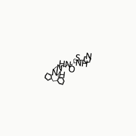 O=C(NCCN1CCN2c3ccccc3Cc3ccccc3[C@@H]2C1)[C@@H]1CSC(c2cccnc2)N1